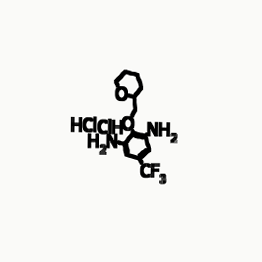 Cl.Cl.Nc1cc(C(F)(F)F)cc(N)c1OCC1CCCCO1